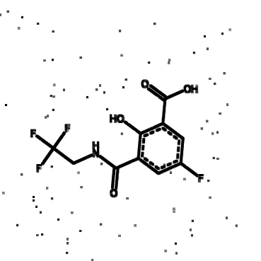 O=C(O)c1cc(F)cc(C(=O)NCC(F)(F)F)c1O